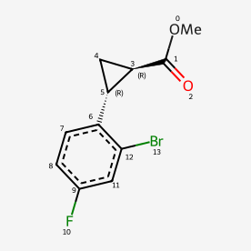 COC(=O)[C@@H]1C[C@H]1c1ccc(F)cc1Br